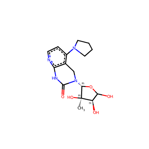 C[C@@]1(O)[C@H](O)C(O)O[C@H]1N1Cc2c(N3CCCC3)ccnc2NC1=O